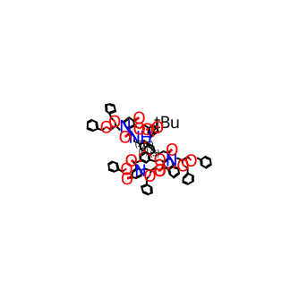 CC(C)(C)OC(=O)CC[C@@]12C[C@@]3(CCC(=O)c4c(OCc5ccccc5)c(=O)ccn4CC(COCc4ccccc4)OCc4ccccc4)C[C@@](CCC(=O)c4c(OCc5ccccc5)c(=O)ccn4CC(COCc4ccccc4)OCc4ccccc4)(C1)C[C@@](CNC(=O)c1c(OCc4ccccc4)c(=O)ccn1CC(COCc1ccccc1)OCc1ccccc1)(C2)C3